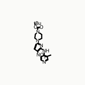 Cc1cnccc1Nc1nc(N2CCN(C(=O)OC(C)(C)C)CC2)ccc1[N+](=O)[O-]